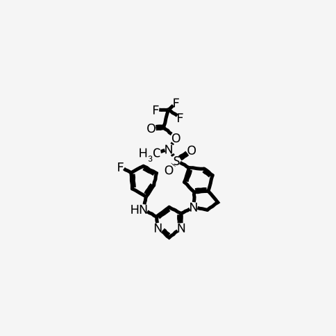 CN(OC(=O)C(F)(F)F)S(=O)(=O)c1ccc2c(c1)N(c1cc(Nc3cccc(F)c3)ncn1)CC2